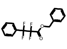 O=C(OCc1ccccc1)C(F)(F)C(F)(F)c1ccccc1